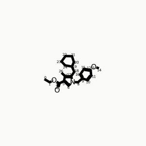 CCOC(=O)c1cn(Cc2ccc(OC)cc2)c(CC2CCCCC2)c1C